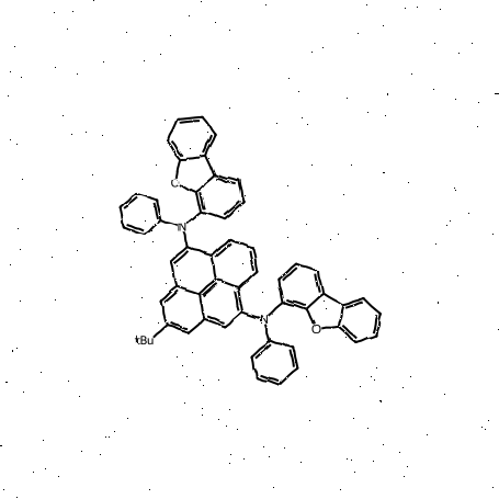 CC(C)(C)c1cc2cc(N(c3ccccc3)c3cccc4c3oc3ccccc34)c3cccc4c(N(c5ccccc5)c5cccc6c5oc5ccccc56)cc(c1)c2c34